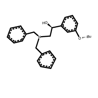 CC[C@@H](C)Oc1cccc([C@H](O)CN(Cc2ccccc2)Cc2ccccc2)c1